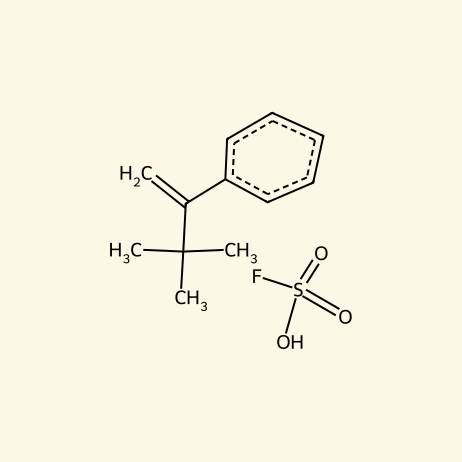 C=C(c1ccccc1)C(C)(C)C.O=S(=O)(O)F